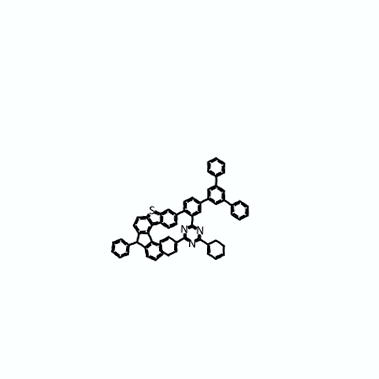 C1=CCCC(c2nc(C3=CCCC=C3)nc(-c3cc(-c4cc(-c5ccccc5)cc(-c5ccccc5)c4)ccc3-c3ccc4c(c3)sc3ccc5c(c34)-c3ccccc3C5c3ccccc3)n2)=C1